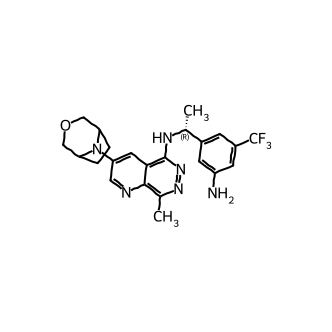 Cc1nnc(N[C@H](C)c2cc(N)cc(C(F)(F)F)c2)c2cc(N3C4CCC3COC4)cnc12